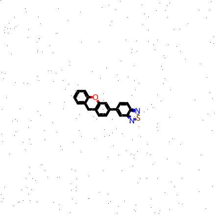 c1ccc2c(c1)Cc1ccc(-c3ccc4nsnc4c3)cc1O2